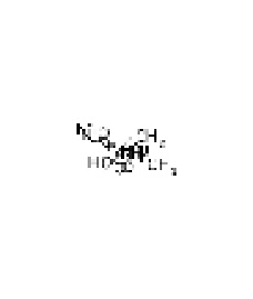 CCC(OC(C)C)C(=O)NC(CCC(=O)C=[N+]=[N-])C(=O)O